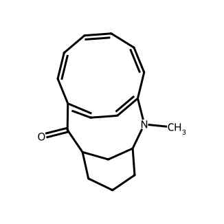 CN1c2ccccccc(cc2)C(=O)C2CCCC1C2